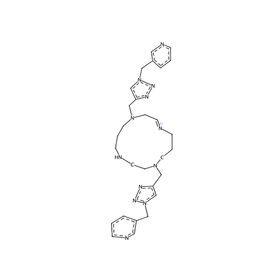 C1=N/CCCN(Cc2cn(Cc3cccnc3)nn2)CCNCCCN(Cc2cn(Cc3cccnc3)nn2)C/1